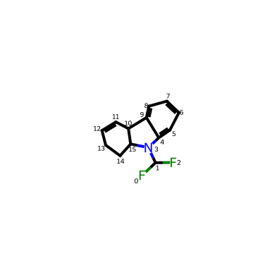 FC(F)N1c2ccccc2C2C=CCCC21